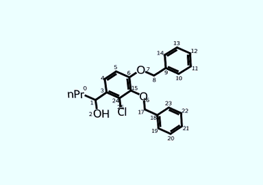 CCCC(O)c1ccc(OCc2ccccc2)c(OCc2ccccc2)c1Cl